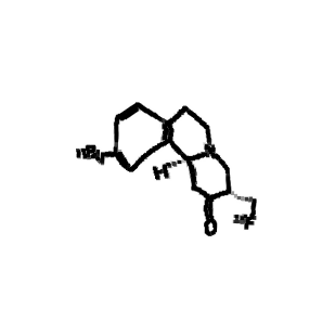 CCCCc1ccc2c(c1)[C@@H]1CC(=O)[C@@H](C[18F])CN1CC2